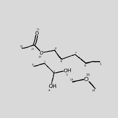 CCC(O)O.CCCCCOC(C)=O.COC